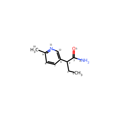 CCC(C(N)=O)c1ccc(C)nc1